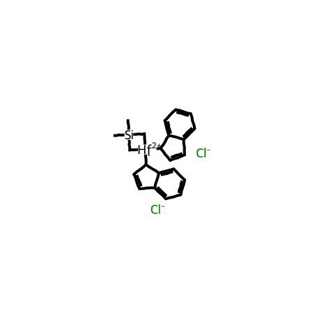 C[Si]1(C)[CH2][Hf+2]([CH]2C=Cc3ccccc32)([CH]2C=Cc3ccccc32)[CH2]1.[Cl-].[Cl-]